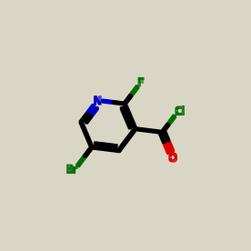 O=C(Cl)c1cc(Br)cnc1F